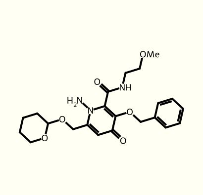 COCCNC(=O)c1c(OCc2ccccc2)c(=O)cc(COC2CCCCO2)n1N